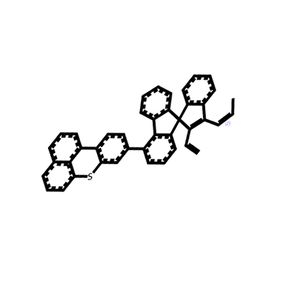 C=CC1=C(/C=C\C)c2ccccc2C12c1ccccc1-c1c(-c3ccc4c(c3)Sc3cccc5cccc-4c35)cccc12